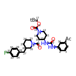 CC(=O)c1cccc(NC(=O)N[C@@H]2CCN(C(=O)OC(C)(C)C)C[C@H]2C(=O)N2CCCC(Cc3ccc(F)cc3)C2)c1